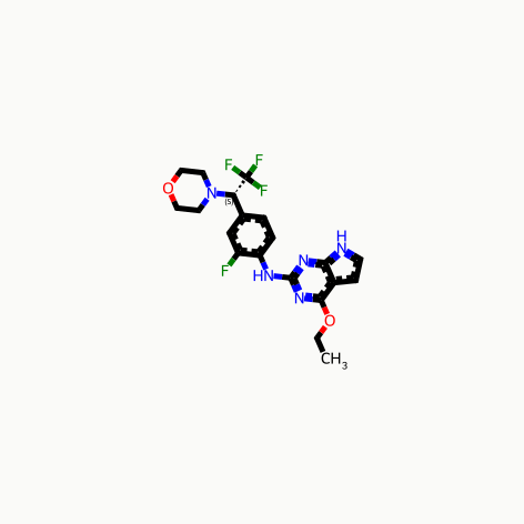 CCOc1nc(Nc2ccc([C@H](N3CCOCC3)C(F)(F)F)cc2F)nc2[nH]ccc12